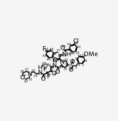 COc1ccc(CS(=O)(=O)[C@@H]2C[C@@H](C(=O)N[C@H](C(=O)C(F)(F)C(=O)NCCN3CCOCC3)C(C)C)N(C(=O)[C@H](Cc3cccc(F)c3)NC(=O)c3cccc(Cl)c3)C2)cc1